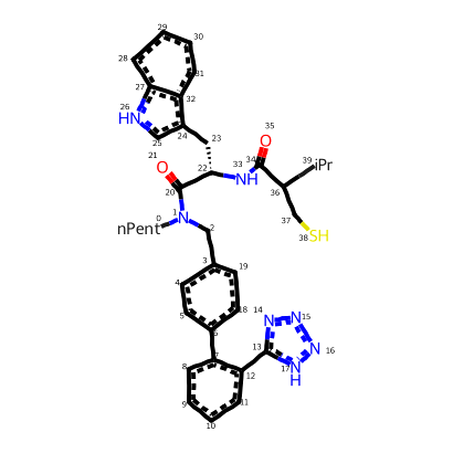 CCCCCN(Cc1ccc(-c2ccccc2-c2nnn[nH]2)cc1)C(=O)[C@H](Cc1c[nH]c2ccccc12)NC(=O)C(CS)C(C)C